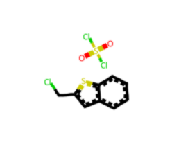 ClCc1cc2ccccc2s1.O=S(=O)(Cl)Cl